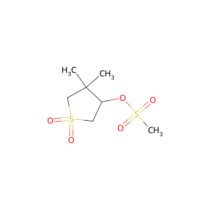 CC1(C)CS(=O)(=O)CC1OS(C)(=O)=O